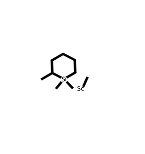 CC1CCCC[Si]1(C)C.[CH3][Sc]